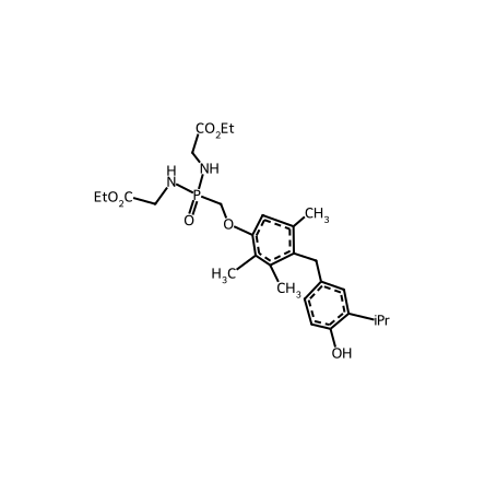 CCOC(=O)CNP(=O)(COc1cc(C)c(Cc2ccc(O)c(C(C)C)c2)c(C)c1C)NCC(=O)OCC